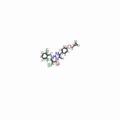 Cc1c(-c2ccc(OCC3CC3)cc2)nc2n(Cc3c(F)cccc3F)cc(Br)c(=O)n12